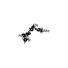 CNS(=O)(=O)C1CCN(CCn2c(C#N)cc3c(C)c(CN4CCC5CN(c6cc[nH]c(=O)c6Oc6ccc(F)cc6C(=O)N(C)C)CC54)ccc32)CC1